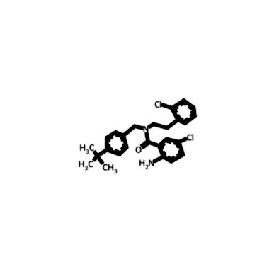 CC(C)(C)c1ccc(CN(CCc2ccccc2Cl)C(=O)c2cc(Cl)ccc2N)cc1